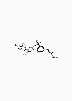 COC(=O)C=Cc1cnc(N2CCN(C(=O)OC(C)(C)C)[C@H](C)C2)c(C(F)(F)F)c1